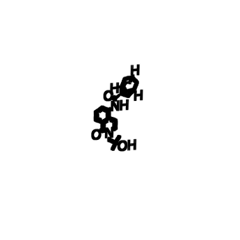 CC(C)(O)Cn1ccc2c(NC(=O)[C@@]34C[C@@H]5C[C@@H](C[C@@H]3C5)C4)cccc2c1=O